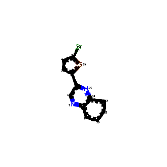 Brc1ccc(-c2cnc3ccccc3n2)s1